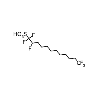 O=S(=O)(O)C(F)(F)C(F)CCCCCCCCCC(F)(F)F